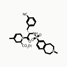 CCOC(=O)[C@H]1CC(C)=CCN1C(=O)[C@H](Cc1cccc(C#N)c1)NS(=O)(=O)c1ccc2c(c1)CCN(C)CC2